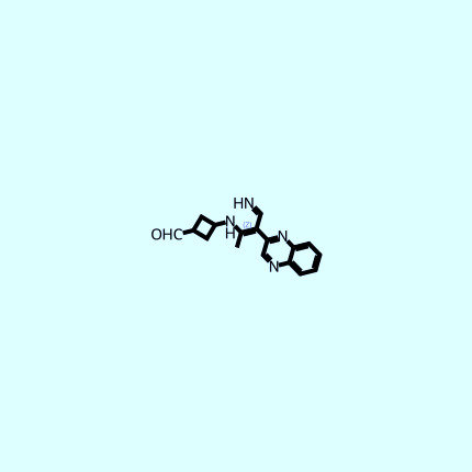 C/C(NC1CC(C=O)C1)=C(/C=N)c1cnc2ccccc2n1